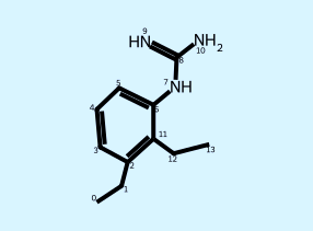 CCc1cccc(NC(=N)N)c1CC